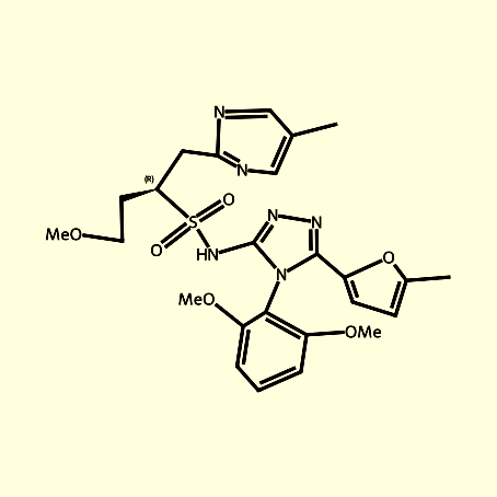 COCC[C@@H](Cc1ncc(C)cn1)S(=O)(=O)Nc1nnc(-c2ccc(C)o2)n1-c1c(OC)cccc1OC